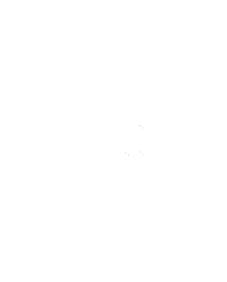 N=N/C(=C\N)c1ccccc1